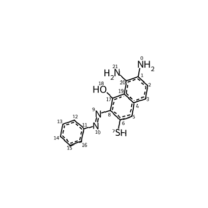 Nc1ccc2cc(S)c(/N=N/c3ccccc3)c(O)c2c1N